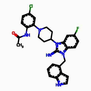 CC(=O)Nc1ccc(Cl)cc1N1CCC(n2c(=N)n(Cc3cccc4[nH]ccc34)c3ccc(F)cc32)CC1